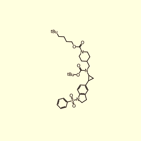 CC(C)(C)CCCCOC(=O)N1CCC(CN(C(=O)OC(C)(C)C)C2CC2c2ccc3c(c2)CCN3S(=O)(=O)c2ccccc2)CC1